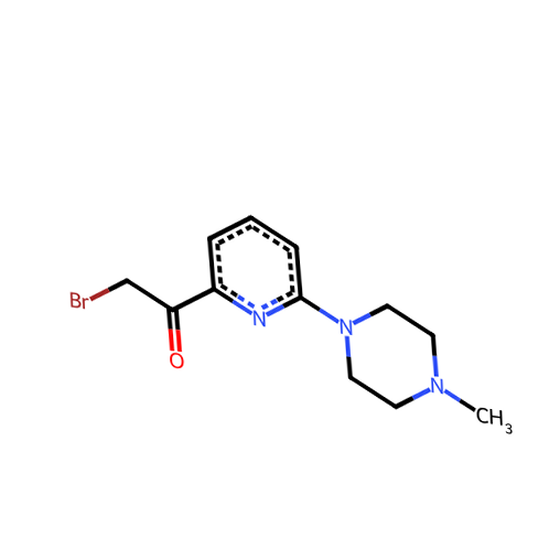 CN1CCN(c2cccc(C(=O)CBr)n2)CC1